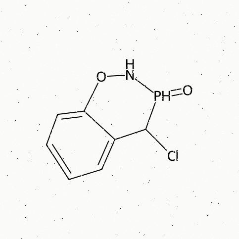 O=[PH]1NOc2ccccc2C1Cl